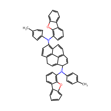 Cc1ccc(N(c2ccc3c4c5c(ccc24)C=CC(N(c2ccc(C)cc2)c2cccc4c2oc2ccccc24)C5=CC3)c2cccc3c2oc2ccccc23)cc1